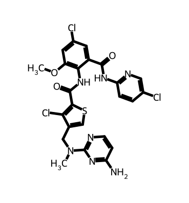 COc1cc(Cl)cc(C(=O)Nc2ccc(Cl)cn2)c1NC(=O)c1scc(CN(C)c2nccc(N)n2)c1Cl